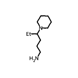 CCC(CCCN)N1CCCCC1